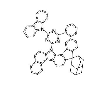 c1ccc(-c2nc(-n3c4ccccc4c4ccccc43)nc(-n3c4ccc5ccccc5c4c4ccc5c(c43)-c3ccccc3C53C4CC5CC(C4)CC3C5)n2)cc1